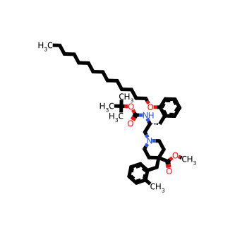 CCCCCCCCCCCCCCOc1ccccc1C[C@H](CN1CCC(Cc2ccccc2C)(C(=O)OC)CC1)NC(=O)OC(C)(C)C